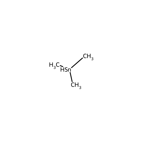 [CH3][SnH]([CH3])[CH3]